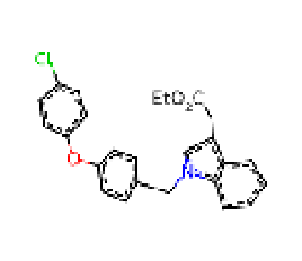 CCOC(=O)Cc1cn(Cc2ccc(Oc3ccc(Cl)cc3)cc2)c2ccccc12